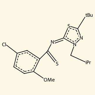 COc1ccc(Cl)cc1C(=S)N=c1sc(C(C)(C)C)nn1CC(C)C